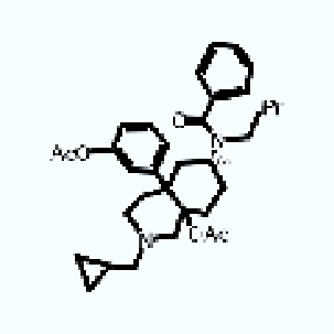 CC(=O)Oc1cccc(C23CCN(CC4CC4)CC2(OC(C)=O)CC[C@@H](N(CC(C)C)C(=O)c2ccccc2)C3)c1